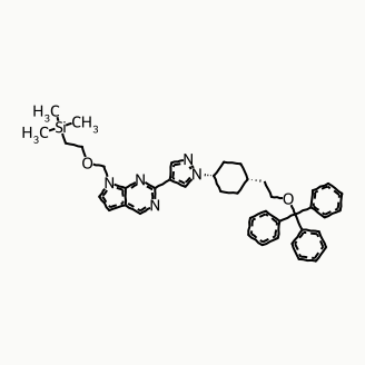 C[Si](C)(C)CCOCn1ccc2cnc(-c3cnn([C@H]4CC[C@@H](CCOC(c5ccccc5)(c5ccccc5)c5ccccc5)CC4)c3)nc21